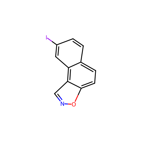 Ic1ccc2ccc3oncc3c2c1